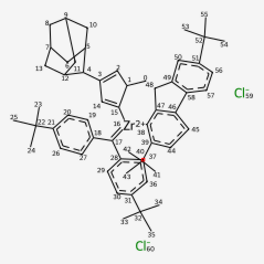 CC1C=C(C2C3CC4CC(C3)CC2C4)C=[C]1[Zr+2](=[C](c1ccc(C(C)(C)C)cc1)c1ccc(C(C)(C)C)cc1)[c]1c(C(C)(C)C)ccc2c1Cc1cc(C(C)(C)C)ccc1-2.[Cl-].[Cl-]